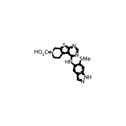 CSc1cc2[nH]ncc2cc1Nc1ncnc2sc3c(c12)CCN(C(=O)O)C3